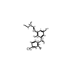 CCN(C)C=Nc1cc(F)cc(N(C)c2ccc(Cl)cc2F)c1C